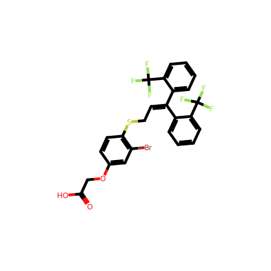 O=C(O)COc1ccc(SCC=C(c2ccccc2C(F)(F)F)c2ccccc2C(F)(F)F)c(Br)c1